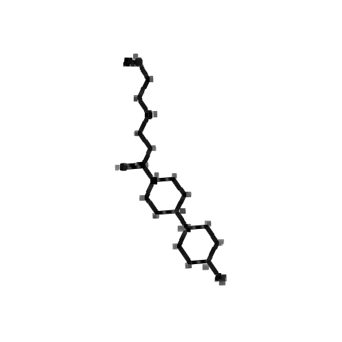 COCCOCCC(=O)N1CCC(N2CCC(C(C)=O)CC2)CC1